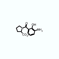 Nc1cccc(C(=O)N2CCCC2C(=O)O)c1O